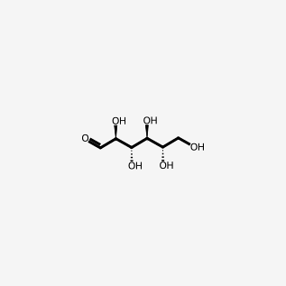 O=C[C@@H](O)[C@@H](O)[C@@H](O)[C@@H](O)CO